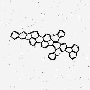 Fc1ccccc1-c1c2cc3c(cc2c(-c2ccccc2F)c2c4ccc5c6ccc7c8c(ccc(c9ccc(c12)c4c95)c86)-c1cc2ccccc2cc1-7)c1cccc2cccc3c21